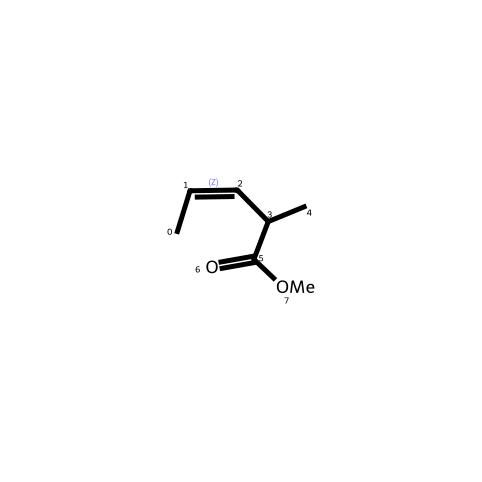 C/C=C\C(C)C(=O)OC